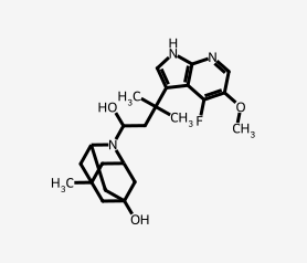 COc1cnc2[nH]cc(C(C)(C)CC(O)N3C4CC5(C)CC3CC(O)(C4)C5)c2c1F